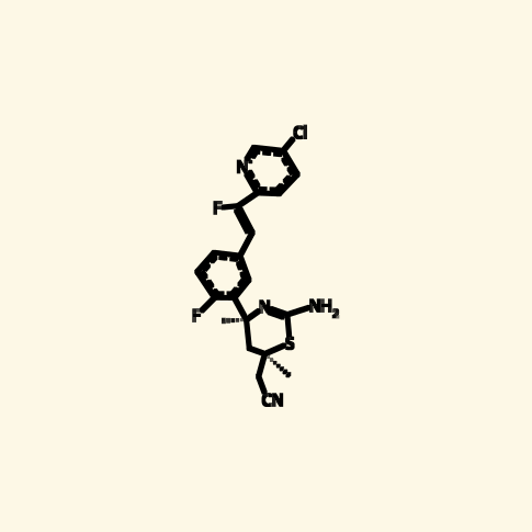 C[C@]1(CC#N)C[C@@](C)(c2cc(/C=C(\F)c3ccc(Cl)cn3)ccc2F)N=C(N)S1